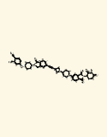 N#Cc1ccc(O[C@H]2CC[C@H](N3Cc4cc(C#CC5CN(C6CCN(c7ccc8c(c7)C(=O)N(C7CCC(=O)NC7=O)C8=O)CC6)C5)ccc4C3=O)CC2)cc1Cl